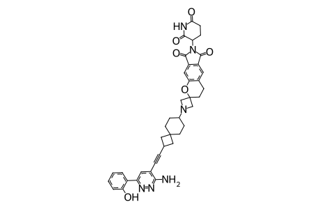 Nc1nnc(-c2ccccc2O)cc1C#CC1CC2(CCC(N3CC4(CCc5cc6c(cc5O4)C(=O)N(C4CCC(=O)NC4=O)C6=O)C3)CC2)C1